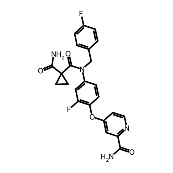 NC(=O)c1cc(Oc2ccc(N(Cc3ccc(F)cc3)C(=O)C3(C(N)=O)CC3)cc2F)ccn1